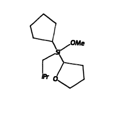 CO[Si](CC(C)C)(C1CCCC1)C1CCCO1